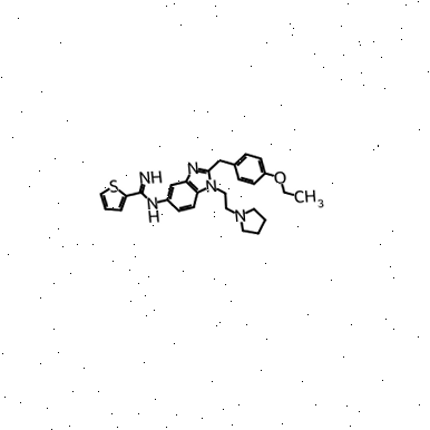 CCOc1ccc(Cc2nc3cc(NC(=N)c4cccs4)ccc3n2CCN2CCCC2)cc1